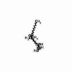 CCCCCCCCCCCOC(=O)C(C)(C)CCCCCCOC(O)C1C[C@H](O)CN1